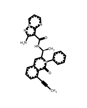 CC#Cc1cccc2cc([C@H](C)NC(=O)c3c(N)nn4cccnc34)n(-c3ccccc3)c(=O)c12